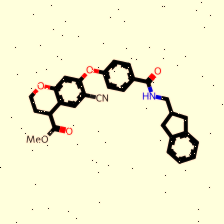 COC(=O)C1CCOc2cc(Oc3ccc(C(=O)NCC4Cc5ccccc5C4)cc3)c(C#N)cc21